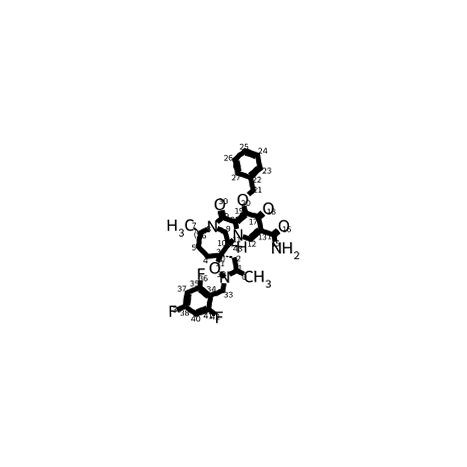 CC1C[C@@]2(CC[C@H](C)N3C[C@H]2n2cc(C(N)=O)c(=O)c(OCc4ccccc4)c2C3=O)ON1Cc1c(F)cc(F)cc1F